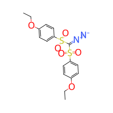 CCOc1ccc(S(=O)(=O)C(=[N+]=[N-])S(=O)(=O)c2ccc(OCC)cc2)cc1